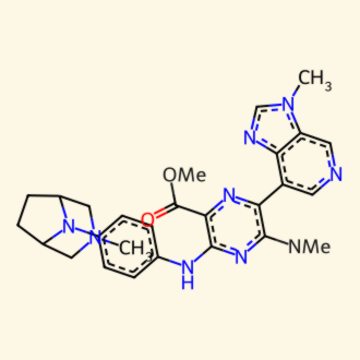 CNc1nc(Nc2ccc(N3C4CCC3CN(C)C4)cc2)c(C(=O)OC)nc1-c1cncc2c1ncn2C